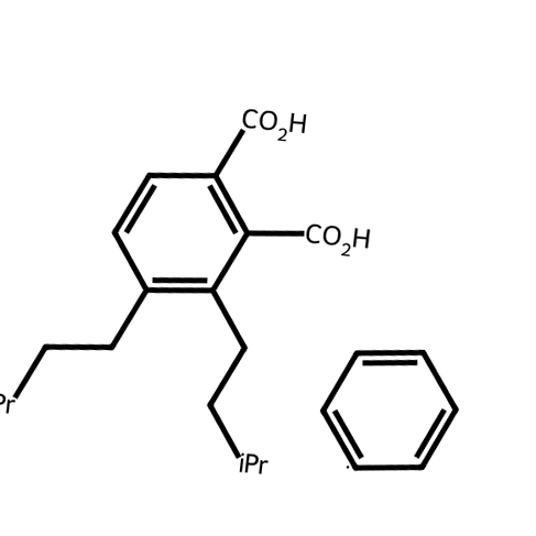 CC(C)CCc1ccc(C(=O)O)c(C(=O)O)c1CCC(C)C.[c]1ccccc1